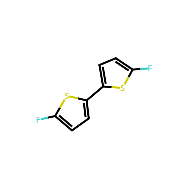 Fc1ccc(-c2ccc(F)s2)s1